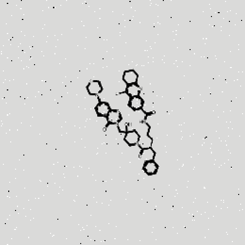 O=C(NCCC[C@@H](Cc1ccccc1)C(=O)N1CCC(O)(Cn2cnc3cc(N4CCOCC4)ccc3c2=O)CC1)c1ccc2c(Cl)c3c(nc2c1)CCCC3